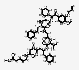 C=CCOc1cc(C(=O)C(=O)N2CCCC[C@H]2C(=O)N[C@H](CCc2ccccc2)C(=O)NCC(=O)NC(C(=O)NC(CC(=O)N(C)CC(=O)NC/C=C/CC(=O)O)Cc2ccccc2)C(C)C)ccc1OC